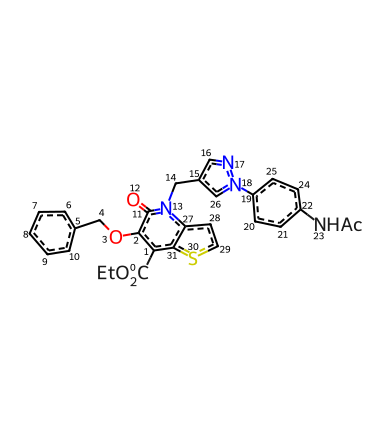 CCOC(=O)c1c(OCc2ccccc2)c(=O)n(Cc2cnn(-c3ccc(NC(C)=O)cc3)c2)c2ccsc12